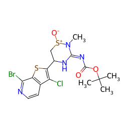 CN1C(=NC(=O)OC(C)(C)C)NC(c2sc3c(Br)nccc3c2Cl)C[S+]1[O-]